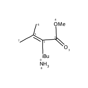 CCC(C)C(C(=O)OC)=C(C)C.N